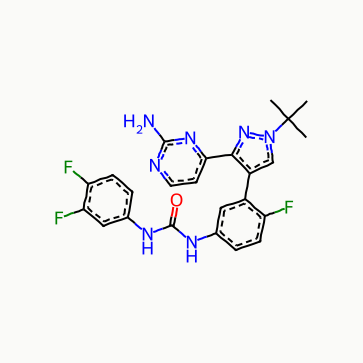 CC(C)(C)n1cc(-c2cc(NC(=O)Nc3ccc(F)c(F)c3)ccc2F)c(-c2ccnc(N)n2)n1